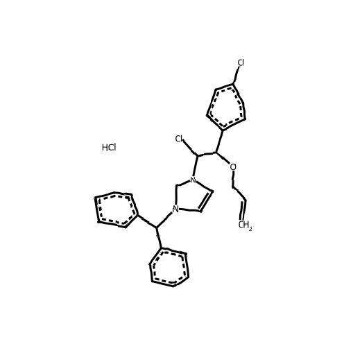 C=CCOC(c1ccc(Cl)cc1)C(Cl)N1C=CN(C(c2ccccc2)c2ccccc2)C1.Cl